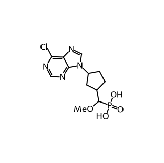 COC(C1CCC(n2cnc3c(Cl)ncnc32)C1)P(=O)(O)O